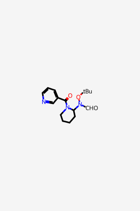 CC(C)(C)ON(C=O)C1CCCCN1C(=O)c1cccnc1